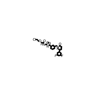 O=C(COCCCl)Nc1nc(-c2cccc(Cn3nc(-c4cc(F)cc(F)c4)ccc3=O)c2)no1